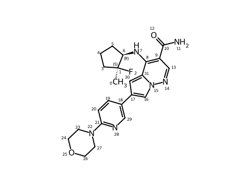 C[C@]1(F)CCC[C@H]1Nc1c(C(N)=O)cnn2cc(-c3ccc(N4CCOCC4)nc3)cc12